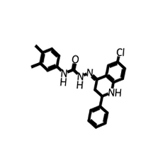 Cc1ccc(NC(=O)NN=C2CC(c3ccccc3)Nc3ccc(Cl)cc32)cc1C